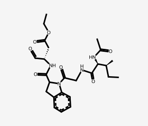 CCOC(=O)C[C@@H](C=O)NC(=O)C1Cc2ccccc2N1C(=O)CNC(=O)[C@@H](NC(C)=O)[C@@H](C)CC